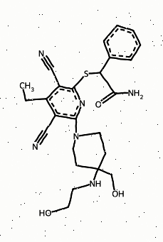 CCc1c(C#N)c(SC(C(N)=O)c2ccccc2)nc(N2CCC(CO)(NCCO)CC2)c1C#N